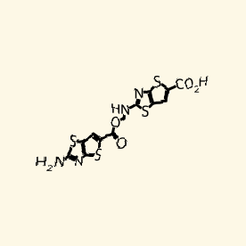 Nc1nc2sc(C(=O)OCNc3nc4sc(C(=O)O)cc4s3)cc2s1